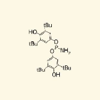 CC(C)(C)c1cc(OP(N)Oc2cc(C(C)(C)C)c(O)c(C(C)(C)C)c2)cc(C(C)(C)C)c1O